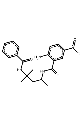 CC(CC(C)(C)NC(=O)c1ccccc1)NC(=O)c1cc([N+](=O)[O-])ccc1N